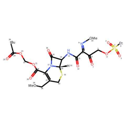 CCS(=O)(=O)OCC(=O)C(=NOC)C(=O)NC1C(=O)N2C(C(=O)OCOC(=O)C(C)(C)C)=C(COC)CS[C@@H]12